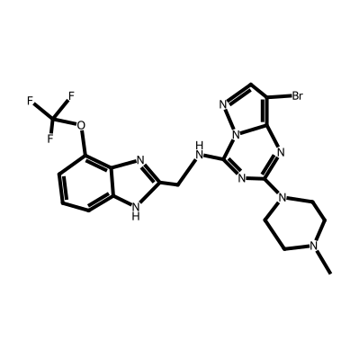 CN1CCN(c2nc(NCc3nc4c(OC(F)(F)F)cccc4[nH]3)n3ncc(Br)c3n2)CC1